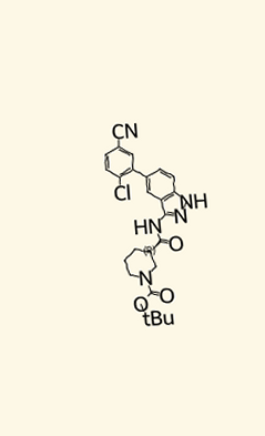 CC(C)(C)OC(=O)N1CCC[C@@H](C(=O)Nc2n[nH]c3ccc(-c4cc(C#N)ccc4Cl)cc23)C1